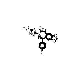 Cc1nnc(N2N=C(c3ccc(Cl)cc3)c3cc4c(cc3C[C@H]2C)OCO4)s1